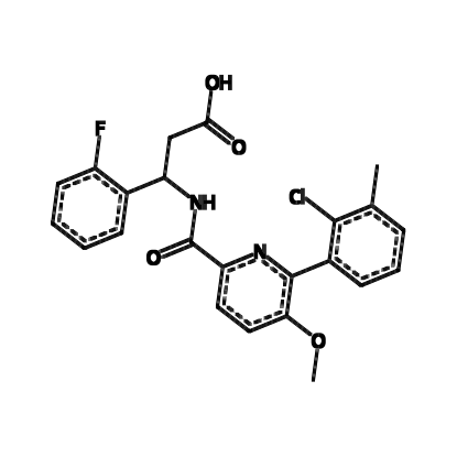 COc1ccc(C(=O)NC(CC(=O)O)c2ccccc2F)nc1-c1cccc(C)c1Cl